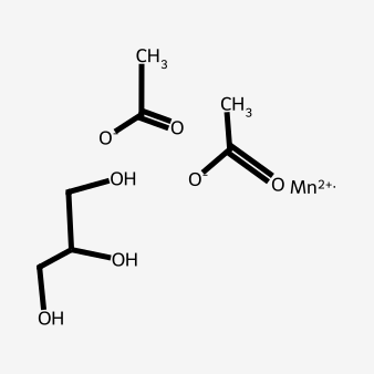 CC(=O)[O-].CC(=O)[O-].OCC(O)CO.[Mn+2]